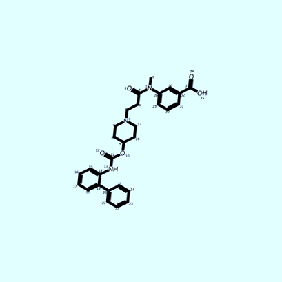 CN(C(=O)CCN1CCC(OC(=O)Nc2ccccc2-c2ccccc2)CC1)c1cccc(C(=O)O)c1